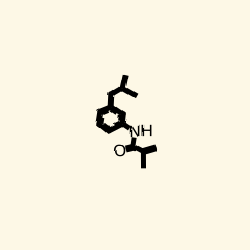 C=C(C)C(=O)Nc1cccc(CC(C)C)c1